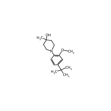 COc1cc(C(C)(C)C)ccc1N1CCC(C)(O)CC1